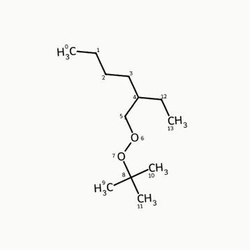 CCCCC([CH]OOC(C)(C)C)CC